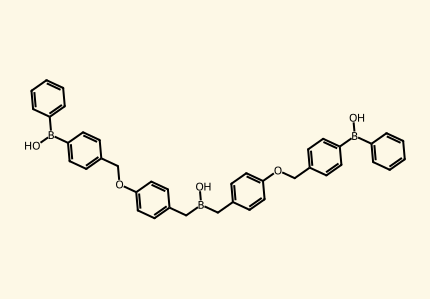 OB(Cc1ccc(OCc2ccc(B(O)c3ccccc3)cc2)cc1)Cc1ccc(OCc2ccc(B(O)c3ccccc3)cc2)cc1